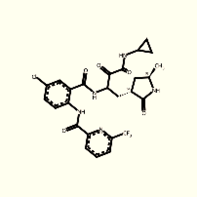 C[C@@H]1C[C@@H](CC(NC(=O)c2cc(Cl)ccc2NC(=O)c2cccc(C(F)(F)F)n2)C(=O)C(=O)NC2CC2)C(=O)N1